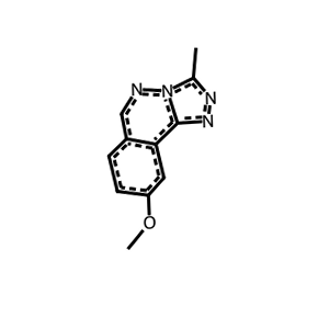 COc1ccc2cnn3c(C)nnc3c2c1